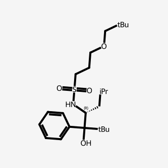 CC(C)C[C@@H](NS(=O)(=O)CCCOCC(C)(C)C)C(O)(c1ccccc1)C(C)(C)C